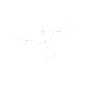 COC(=O)CCC(C#N)(CCC(=O)OC)c1cccs1